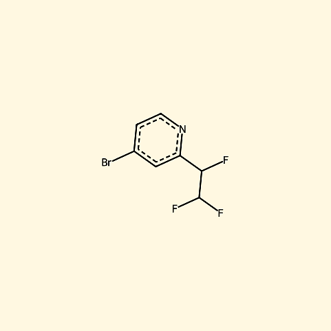 FC(F)C(F)c1cc(Br)ccn1